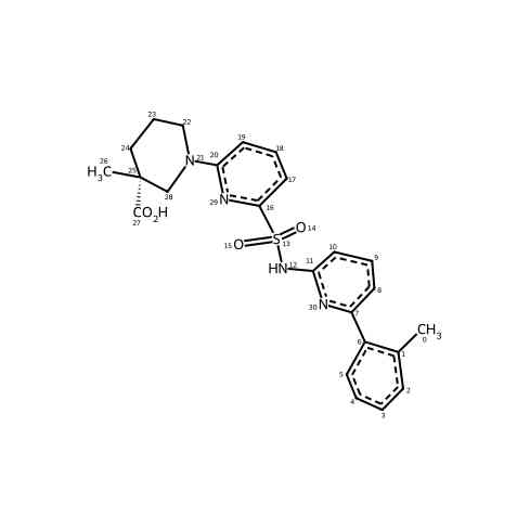 Cc1ccccc1-c1cccc(NS(=O)(=O)c2cccc(N3CCC[C@@](C)(C(=O)O)C3)n2)n1